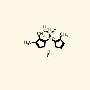 CC1=CC[C]([Zr+2]([C]2=C(C)C=CC2)[SiH](C)C)=C1C.[Cl-].[Cl-]